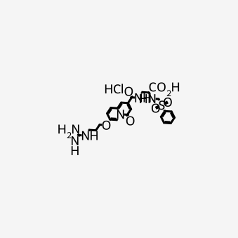 Cl.N=C(N)NCCCOc1ccc2cc(C(=O)NCC(NCS(=O)(=O)c3ccccc3)C(=O)O)cc(=O)n2c1